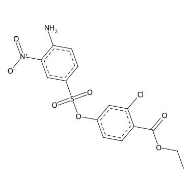 CCOC(=O)c1ccc(OS(=O)(=O)c2ccc(N)c([N+](=O)[O-])c2)cc1Cl